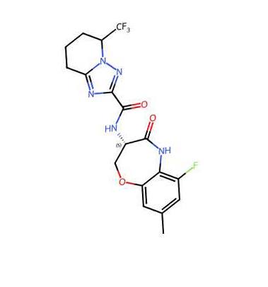 Cc1cc(F)c2c(c1)OC[C@H](NC(=O)c1nc3n(n1)C(C(F)(F)F)CCC3)C(=O)N2